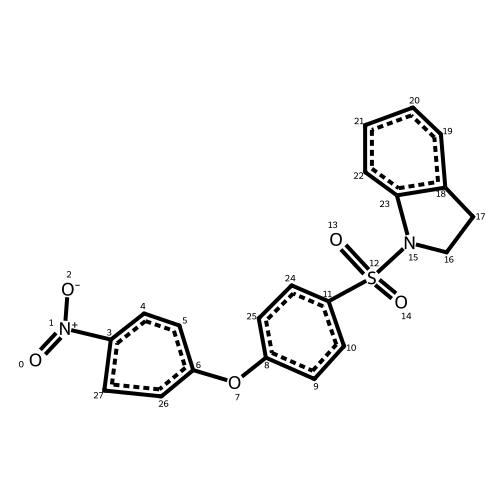 O=[N+]([O-])c1ccc(Oc2ccc(S(=O)(=O)N3CCc4ccccc43)cc2)cc1